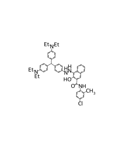 CCN(CC)c1ccc(C(c2ccc(NNc3c(O)c(C(=O)Nc4ccc(Cl)cc4C)cc4ccccc34)cc2)c2ccc(N(CC)CC)cc2)cc1